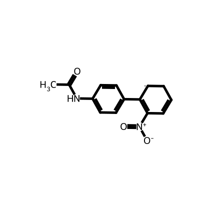 CC(=O)Nc1ccc(C2=C([N+](=O)[O-])C=CC[CH]2)cc1